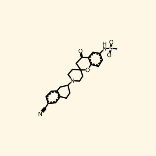 CS(=O)(=O)Nc1ccc2c(c1)C(=O)CC1(CCN(C3CCc4cc(C#N)ccc4C3)CC1)O2